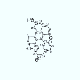 Cc1cccc(C2c3c(ccc4cc(O)ccc34)Oc3ccc4cc(O)ccc4c32)c1